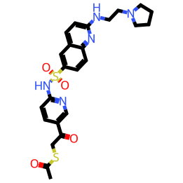 CC(=O)SCC(=O)c1ccc(NS(=O)(=O)c2ccc3nc(NCCN4CCCC4)ccc3c2)nc1